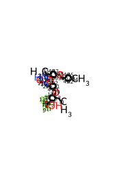 CCCc1cc(C(O)(C(F)(F)F)C(F)(F)F)ccc1Oc1cccc(CN(C=O)C(=O)NC(C)c2ccc(OCc3ccc(C)cc3)cc2)c1